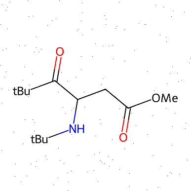 COC(=O)CC(NC(C)(C)C)C(=O)C(C)(C)C